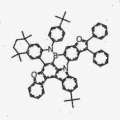 CC(C)(C)c1ccc(N2B3c4cc5oc(-c6ccccc6)c(-c6ccccc6)c5cc4-n4c5ccc(C(C)(C)C)cc5c5c6c(oc7ccccc76)c(c3c54)-c3cc4c(cc32)C(C)(C)CCC4(C)C)cc1